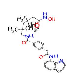 CC(C)(CNC(=O)c1ccc(CC(=O)Nc2cccc3cccnc23)cc1)CC(C)(C)CC(=O)NO